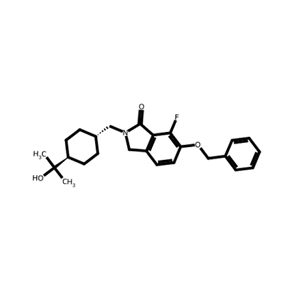 CC(C)(O)[C@H]1CC[C@H](CN2Cc3ccc(OCc4ccccc4)c(F)c3C2=O)CC1